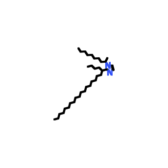 CCCCCCCCCCCCCCCCCCC(CCCC)c1nccn1C(C)CCCCCCCC